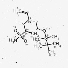 C=C[C@H](CCO[Si](C)(C)C(C)(C)C)C[C@@H](C)S(N)(=O)=O